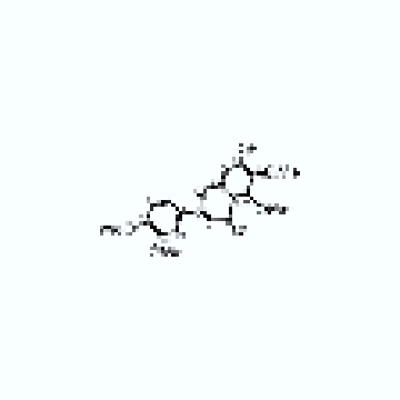 COc1ccc(-c2cc(=O)c3c(OC)c(OC)c(O)cc3o2)cc1OC